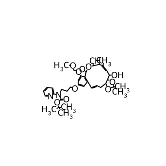 COCOc1cc(OCCCN(C(=O)OC(C)(C)C)c2ccccn2)cc2c1C(=O)O[C@@H](C)[C@H](C)/C=C\C(O)C1OC(C)(C)OC1C/C=C/2